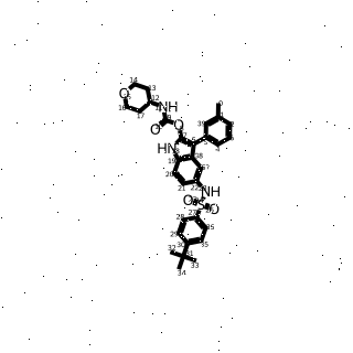 Cc1cccc(-c2c(OC(=O)NC3CCOCC3)[nH]c3ccc(NS(=O)(=O)c4ccc(C(C)(C)C)cc4)cc23)c1